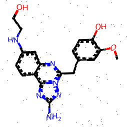 COc1cc(Cc2nc3cc(NCCO)ccc3c3nc(N)nn23)ccc1O